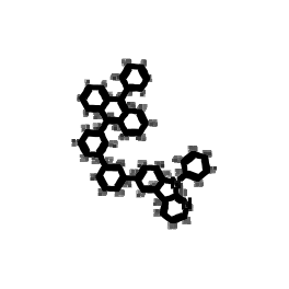 c1ccc(-c2c3ccccc3c(-c3cccc(-c4cccc(-c5ccc6c(c5)c5cccnc5n6-c5ccccc5)c4)c3)c3ccccc23)cc1